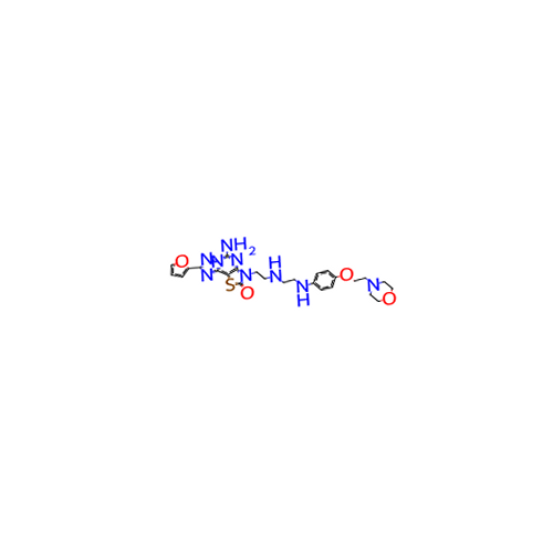 Nc1nc2c(sc(=O)n2CCNCCNc2ccc(OCCN3CCOCC3)cc2)c2nc(-c3ccco3)nn12